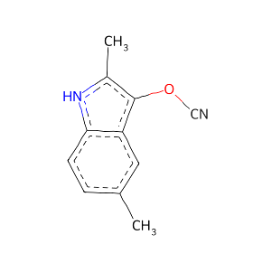 Cc1ccc2[nH]c(C)c(OC#N)c2c1